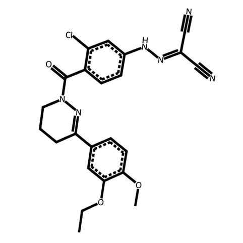 CCOc1cc(C2=NN(C(=O)c3ccc(NN=C(C#N)C#N)cc3Cl)CCC2)ccc1OC